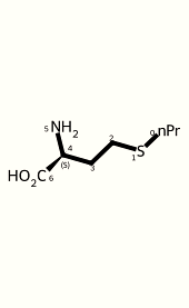 CCCSCC[C@H](N)C(=O)O